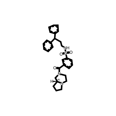 O=C(c1cccc(S(=O)(=O)NCCC(c2ccccc2)c2ccccc2)c1)N1CCN2CCC[C@@H]2C1